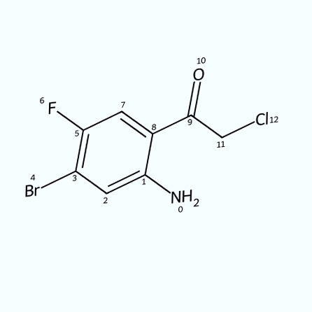 Nc1cc(Br)c(F)cc1C(=O)CCl